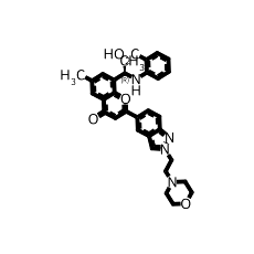 Cc1cc([C@@H](C)Nc2ccccc2C(=O)O)c2oc(-c3ccc4nn(CCN5CCOCC5)cc4c3)cc(=O)c2c1